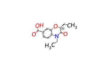 CC[C@@H]1Oc2cc(C(=O)O)ccc2N(CC)C1=O